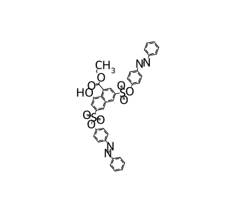 CCOC(=O)c1cc(S(=O)(=O)Oc2ccc(/N=N/c3ccccc3)cc2)cc2cc(S(=O)(=O)Oc3ccc(/N=N/c4ccccc4)cc3)cc(O)c12